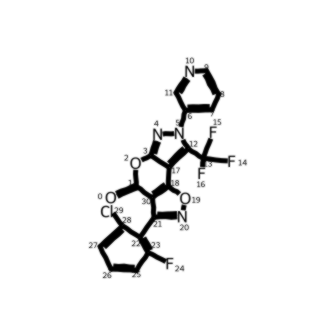 O=c1oc2nn(-c3cccnc3)c(C(F)(F)F)c2c2onc(-c3c(F)cccc3Cl)c12